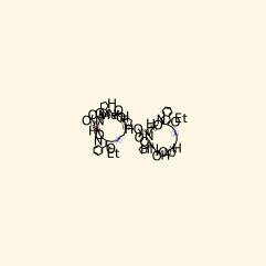 CCOc1c2c(nc3ccccc13)O[C@@H]1C[C@@H](C(=O)OC)N(C1)C(=O)[C@H](C1CCCC1)NC(=O)O[C@@H]1CCC(COC(=O)[C@@H]3C[C@@H]4CN3C(=O)[C@H](C3CCCC3)NC(=O)O[C@@H]3CCC[C@H]3CC/C=C\Cc3c(nc5ccccc5c3OCC)O4)[C@H]1CC/C=C/C2